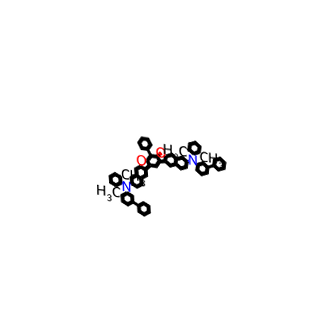 Cc1cccc(C)c1N(c1cccc(-c2ccccc2)c1)c1ccc2cc3c(cc2c1)oc1c(-c2ccccc2)c2oc4cc5cc(N(c6cccc(-c7ccccc7)c6)c6c(C)cccc6C)ccc5cc4c2cc13